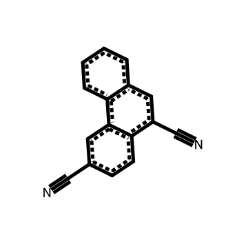 N#Cc1ccc2c(C#N)cc3ccccc3c2c1